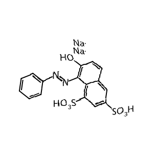 O=S(=O)(O)c1cc(S(=O)(=O)O)c2c(N=Nc3ccccc3)c(O)ccc2c1.[Na].[Na]